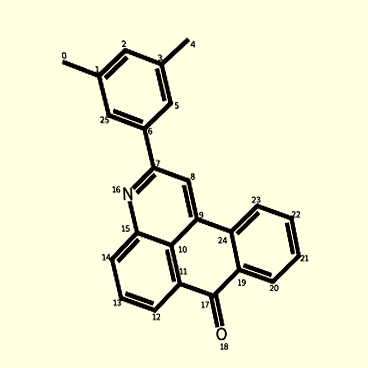 Cc1cc(C)cc(-c2cc3c4c(cccc4n2)C(=O)c2ccccc2-3)c1